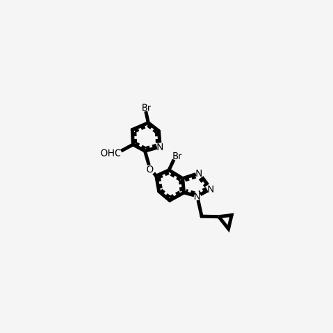 O=Cc1cc(Br)cnc1Oc1ccc2c(nnn2CC2CC2)c1Br